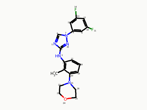 Cc1c(Nc2ncn(-c3cc(F)cc(F)c3)n2)cccc1N1CCOCC1